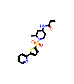 C=CC(=O)NC1CCN(S(=O)(=O)c2ccc(-c3ccccn3)s2)C(C)C1